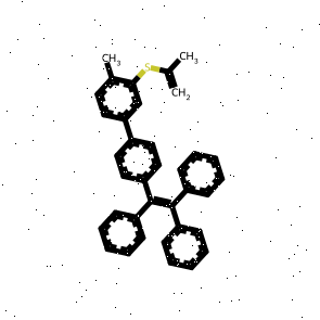 C=C(C)Sc1cc(-c2ccc(C(=C(c3ccccc3)c3ccccc3)c3ccccc3)cc2)ccc1C